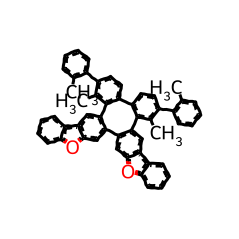 Cc1ccccc1-c1ccc2c(c1C)-c1cc3c(cc1-c1cc4oc5ccccc5c4cc1-c1c-2ccc(-c2ccccc2C)c1C)oc1ccccc13